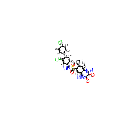 Cc1cc2[nH]c(=O)c(=O)[nH]c2cc1S(=O)(=O)Nc1ccc(-c2ccc(Cl)cc2)c(Cl)c1